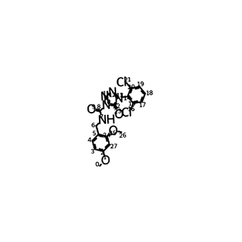 COc1ccc(CNC(=O)n2nnn(-c3c(Cl)cccc3Cl)c2=O)c(OC)c1